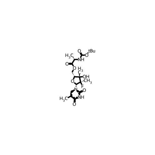 Cc1cn([C@@H]2O[C@H](COC(=O)[C@H](C)NC(=O)OC(C)(C)C)[C@](C)(O)[C@@]2(C)F)c(=O)[nH]c1=O